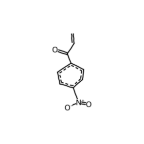 C=CC(=O)c1ccc([N+](=O)[O-])cc1